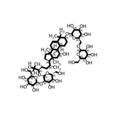 C[C@H](CC[C@@H](O[C@@H]1O[C@H](CO)[C@@H](O)[C@H](O)[C@H]1O[C@@H]1O[C@H](CO)[C@@H](O)[C@H](O)[C@H]1O)C(C)(C)O)[C@H]1CC[C@@]2(C)[C@H]3CC=C4[C@@H](CC[C@H](O[C@@H]5O[C@H](CO[C@@H]6O[C@H](CO)[C@@H](O)[C@H](O)[C@H]6O)[C@@H](O)[C@H](O)[C@H]5O)C4(C)C)[C@]3(C)[C@H](O)C[C@]12C